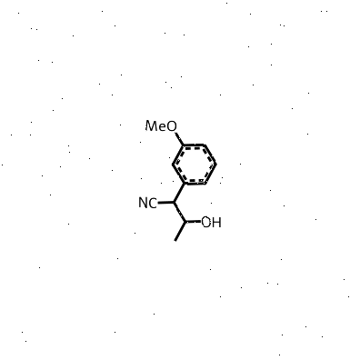 COc1cccc(C(C#N)C(C)O)c1